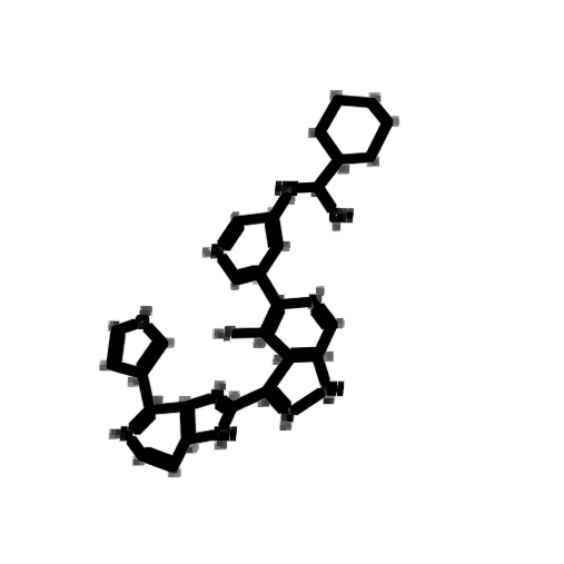 OC(Nc1cncc(-c2ncc3[nH]nc(-c4nc5c(-c6ccoc6)nccc5[nH]4)c3c2F)c1)C1CCCCC1